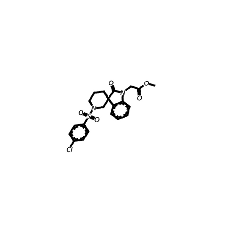 COC(=O)CN1C(=O)C2(CCCN(S(=O)(=O)c3ccc(Cl)cc3)C2)c2ccccc21